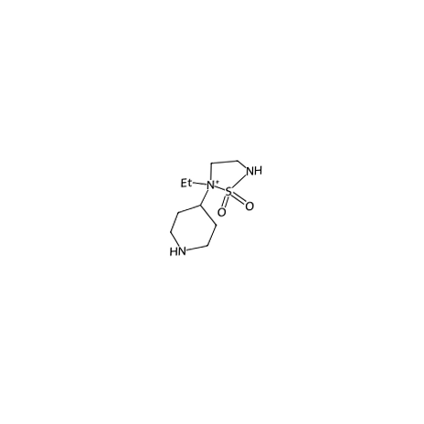 CC[N+]1(C2CCNCC2)CCNS1(=O)=O